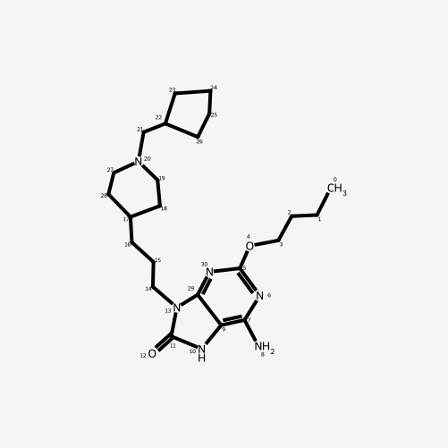 CCCCOc1nc(N)c2[nH]c(=O)n(CCCC3CCN(CC4CCCC4)CC3)c2n1